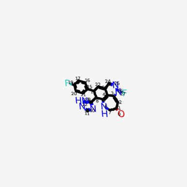 O=C1C=C2C3=C(NC1)C(c1ncn[nH]1)C(c1ccc(F)cc1)C=C3C=NN2F